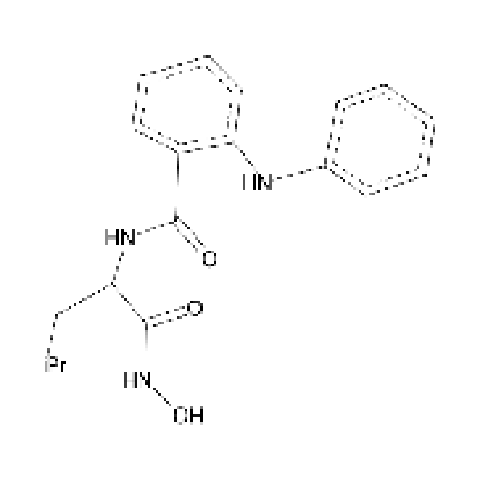 CC(C)CC(NC(=O)c1ccccc1Nc1ccccc1)C(=O)NO